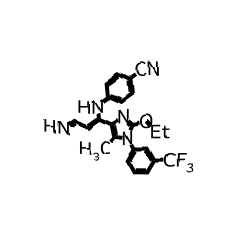 CCOc1nc(/C(=C/C=N)Nc2ccc(C#N)cc2)c(C)n1-c1cccc(C(F)(F)F)c1